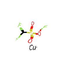 O=S(=O)(OF)C(F)F.[Cu]